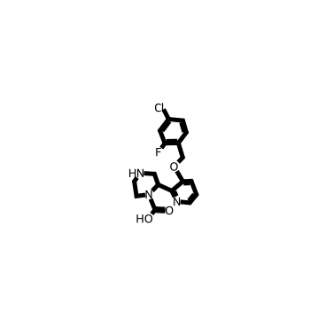 O=C(O)N1CCNCC1c1ncccc1OCc1ccc(Cl)cc1F